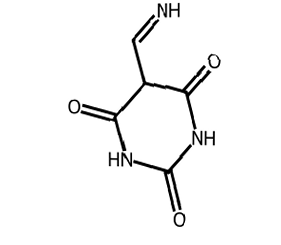 N=CC1C(=O)NC(=O)NC1=O